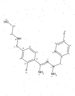 N/C(=N\N(N)Cc1ccc(F)cn1)c1ccc(SNCCO)cc1F